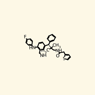 CC(C)(CNC(=O)Cc1cccs1)[C@H](c1ccccc1)c1ccc(Nc2ccc(F)cc2)c(C=N)c1